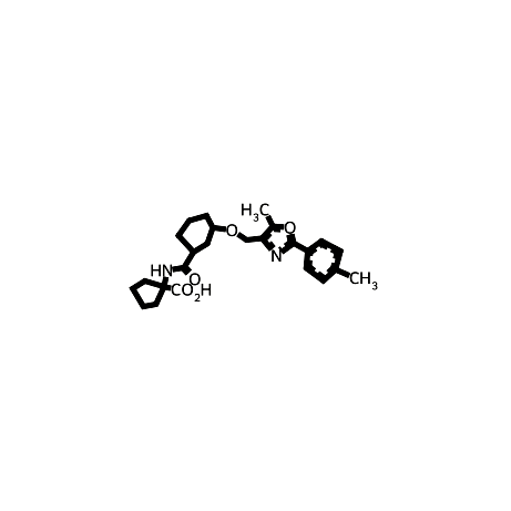 Cc1ccc(-c2nc(COC3CCCC(C(=O)NC4(C(=O)O)CCCC4)C3)c(C)o2)cc1